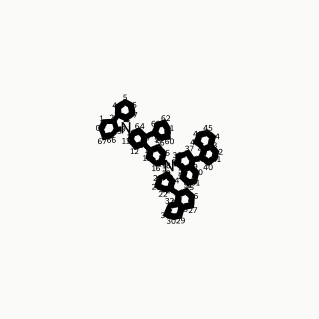 C1=CC2c3ccccc3N(c3ccc(-c4ccc(N(c5cccc(-c6cccc7ccccc67)c5)c5ccc(-c6cccc7ccccc67)c6ccccc56)cc4)c(-c4ccccc4)c3)C2C=C1